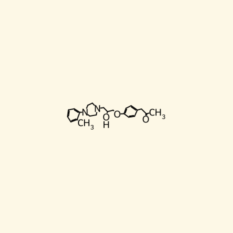 CC(=O)Cc1ccc(OCC(O)CN2CCN(c3ccccc3C)CC2)cc1